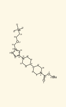 CC(C)(C)OC(=O)N1CCC(C2CCN(c3cnn(COCC[Si](C)(C)C)c3)CC2)CC1